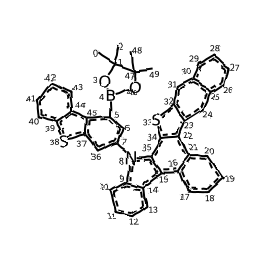 CC1(C)OB(c2cc(-n3c4ccccc4c4c5ccccc5c5c6cc7ccccc7cc6sc5c43)cc3sc4ccccc4c23)OC1(C)C